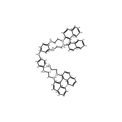 OCCOc1ccc2ccccc2c1-c1c(OCCOc2ccc(Oc3ccc(OCCOc4ccc5ccccc5c4-c4c(OCCO)ccc5ccccc45)cc3)cc2)ccc2ccccc12